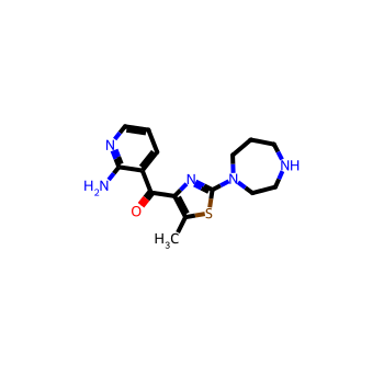 Cc1sc(N2CCCNCC2)nc1C(=O)c1cccnc1N